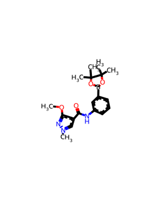 COc1nn(C)cc1C(=O)Nc1cccc(B2OC(C)(C)C(C)(C)O2)c1